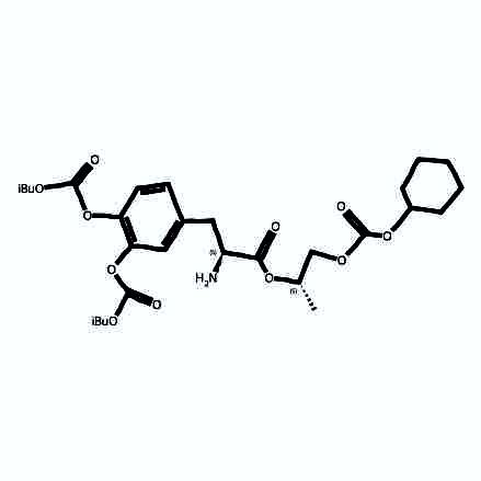 CC(C)COC(=O)Oc1ccc(C[C@H](N)C(=O)O[C@@H](C)COC(=O)OC2CCCCC2)cc1OC(=O)OCC(C)C